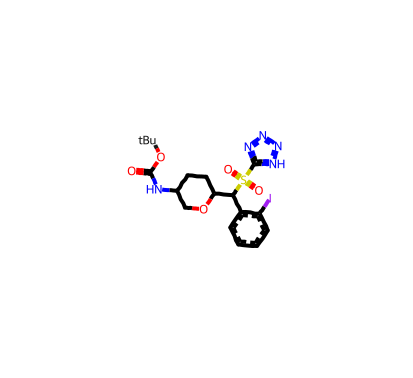 CC(C)(C)OC(=O)NC1CCC(C(c2ccccc2I)S(=O)(=O)c2nnn[nH]2)OC1